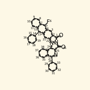 O=c1c2cc3c(F)c4ccccc4c(-c4ccccc4)c3cc2n2c3c(nc(-c4ccccc4)c4ccccc43)c(=O)n12